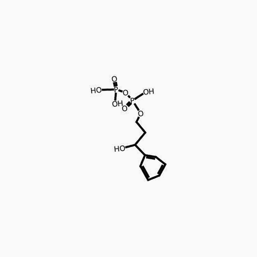 O=P(O)(O)OP(=O)(O)OCCC(O)c1ccccc1